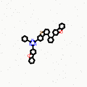 c1ccc(-c2nc(-c3ccc4c(c3)oc3ccccc34)nc(-c3ccc4c(c3)sc3cccc(-c5ccccc5-c5ccc6c(c5)oc5ccccc56)c34)n2)cc1